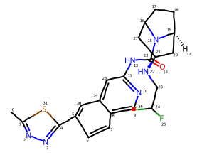 Cc1nnc(-c2ccc3cnc(NC(=O)N4C5CC[C@H]4C[C@@H](NCC(F)F)C5)cc3c2)s1